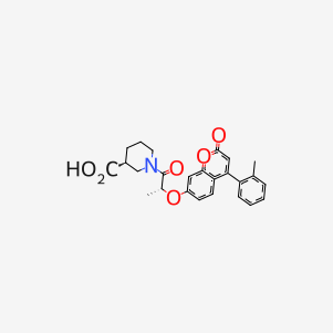 Cc1ccccc1-c1cc(=O)oc2cc(O[C@H](C)C(=O)N3CCC[C@H](C(=O)O)C3)ccc12